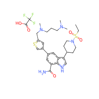 CCS(=O)(=O)N1CCC(c2c[nH]c3c(C(N)=O)cc(-c4csc(CN(C)CCCN(C)C)c4)cc23)CC1.O=C(O)C(F)(F)F